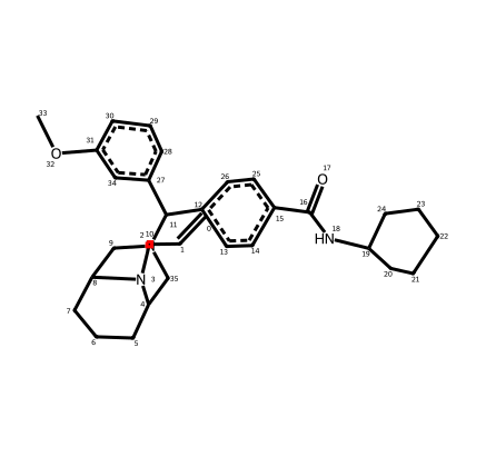 C=CCN1C2CCCC1CN(C(c1ccc(C(=O)NC3CCCCC3)cc1)c1cccc(OC)c1)C2